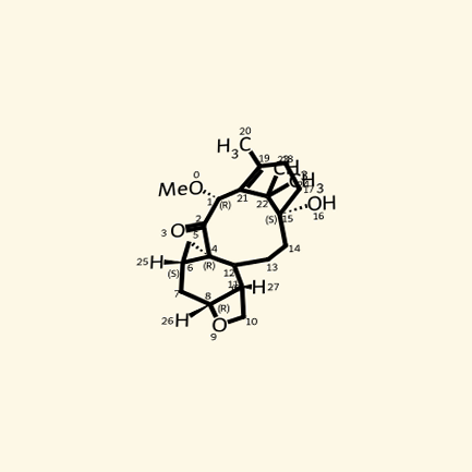 CO[C@H]1C(=O)[C@]23C[C@H]2C[C@H]2OC[C@H]2C3CC[C@]2(O)CCC(C)=C1C2(C)C